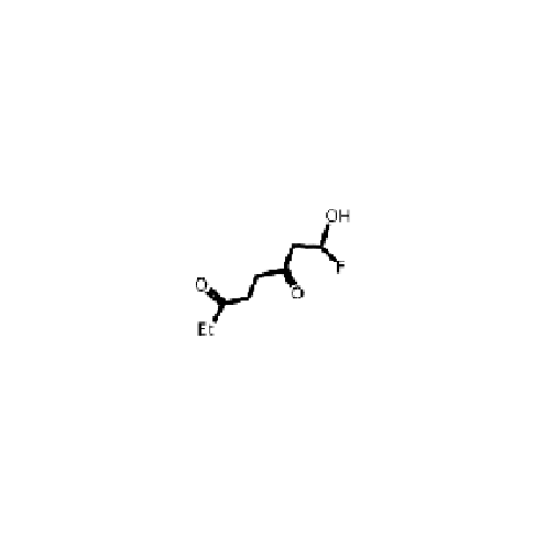 CCC(=O)CCC(=O)CC(O)F